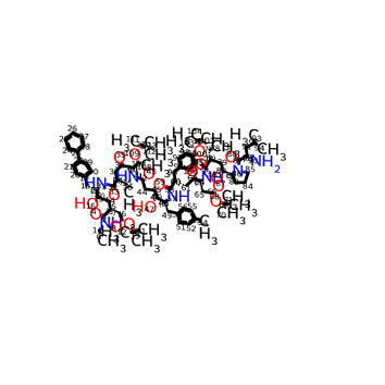 CCNC(=O)[C@H](CC(=O)OC(C)(C)C)C[C@@H](O)[C@H](Cc1ccc(-c2ccccc2)cc1)NC(=O)[C@H](CC)CC(=O)[C@@H](NC(=O)CC[C@@H](O)[C@H](Cc1ccc(C)cc1)NC(=O)[C@@H](CC(=O)[C@H](CC(=O)OC(C)(C)C)NC(=O)[C@H](CC)CC(=O)[C@@H]1CCCN1C(=O)[C@@H](N)CC(C)C)Cc1ccc(OC(C)(C)C)cc1)C(C)OC(C)(C)C